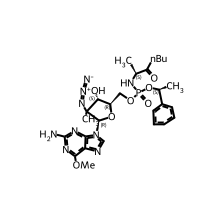 CCCCC(=O)[C@H](C)NP(=O)(OC[C@H]1O[C@@H](n2cnc3c(OC)nc(N)nc32)C(C)(N=[N+]=[N-])[C@@H]1O)O[C@@H](C)c1ccccc1